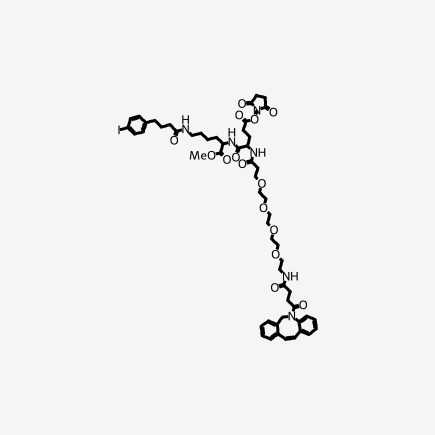 COC(=O)C(CCCCNC(=O)CCCc1ccc(I)cc1)NC(=O)C(CCC(=O)ON1C(=O)CCC1=O)NC(=O)CCOCCOCCOCCOCCNC(=O)CCC(=O)N1Cc2ccccc2/C=C\c2ccccc21